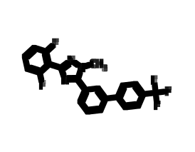 Cn1nc(-c2c(F)cccc2F)nc1-c1cccc(-c2ccc(C(F)(F)F)cc2)c1